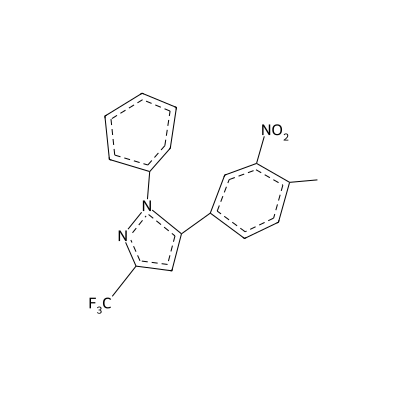 Cc1ccc(-c2cc(C(F)(F)F)nn2-c2ccccc2)cc1[N+](=O)[O-]